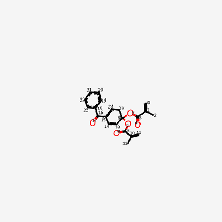 C=C(C)C(=O)OC1(OC(=O)C(=C)C)C=CC(C(=O)c2ccccc2)=CC1